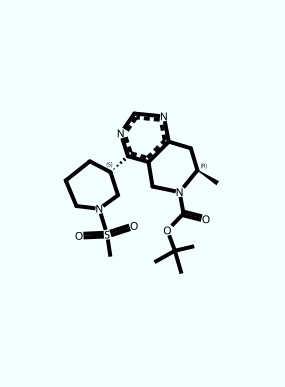 C[C@@H]1Cc2ncnc([C@H]3CCCN(S(C)(=O)=O)C3)c2CN1C(=O)OC(C)(C)C